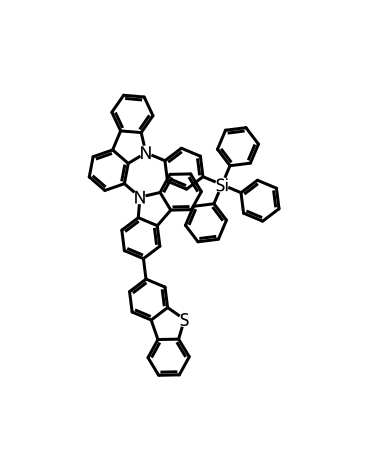 c1ccc([Si](c2ccccc2)(c2ccccc2)c2ccc(-n3c4ccccc4c4cccc(-n5c6ccccc6c6cc(-c7ccc8c(c7)sc7ccccc78)ccc65)c43)cc2)cc1